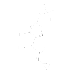 CN(C(=O)NC1CC1)c1ccc(SC(F)(F)F)cc1F